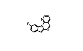 Fc1ccc2cc3ncc4cccnc4n3c2c1